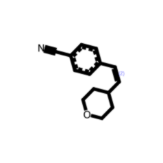 N#Cc1ccc(/C=C\C2CCOCC2)cc1